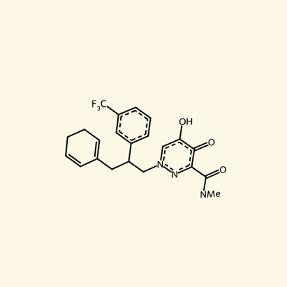 CNC(=O)c1nn(CC(CC2=CCCC=C2)c2cccc(C(F)(F)F)c2)cc(O)c1=O